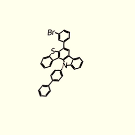 Brc1cccc(-c2cc3c4ccccc4n(-c4ccc(-c5ccccc5)cc4)c3c3c2sc2ccccc23)c1